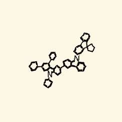 c1ccc(-c2cc(-c3ccccc3)c3c4cc(-c5ccc6c(c5)c5ccccc5n6-c5ccc6c(c5)C5(CCCC5)c5ccccc5-6)ccc4n(-c4ccccc4)c3c2)cc1